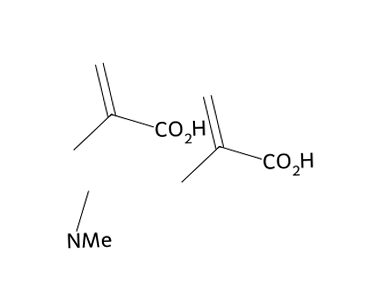 C=C(C)C(=O)O.C=C(C)C(=O)O.CNC